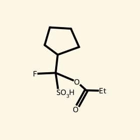 CCC(=O)OC(F)(C1CCCC1)S(=O)(=O)O